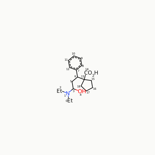 CCN(CC)C(O)CC(c1ccccc1)C1(C(=O)O)CCCC1